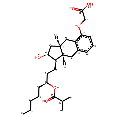 CCCCC[C@@H](CC[C@@H]1[C@H]2Cc3cccc(OCC(=O)O)c3C[C@H]2C[C@H]1O)OC(=O)C(C)C